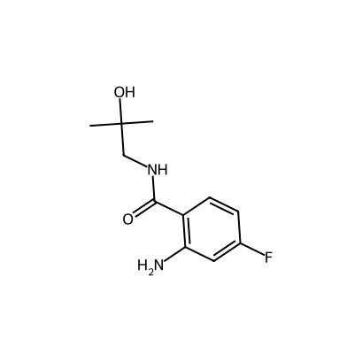 CC(C)(O)CNC(=O)c1ccc(F)cc1N